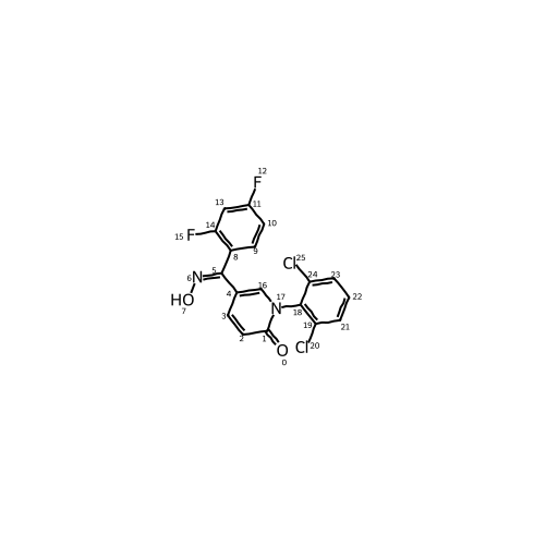 O=c1ccc(/C(=N\O)c2ccc(F)cc2F)cn1-c1c(Cl)cccc1Cl